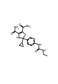 CCNC(=O)Nc1ccc(C2(C3CC3)NC(C(N)=O)=C(C(N)=O)S2)cn1